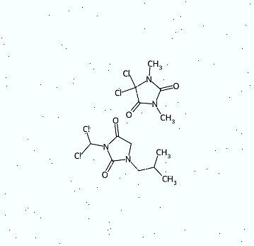 CC(C)CN1CC(=O)N(C(Cl)Cl)C1=O.CN1C(=O)N(C)C(Cl)(Cl)C1=O